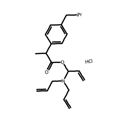 C=CCN(CC=C)C(C=C)OC(=O)C(C)c1ccc(CC(C)C)cc1.Cl